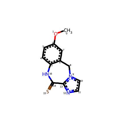 COc1ccc2c(c1)Cn1ccnc1C(=S)N2